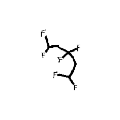 FC(F)CC(F)(F)CC(F)F